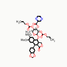 C=CCOC(=O)O[C@H]1[C@H](OC(=O)c2cnccn2)[C@@H](OC(=O)OCC=C)C(Oc2c3c(c(-c4ccc5c(c4)OCO5)c4cc(OC)c(OC)cc24)C(=O)OC3)O[C@@H]1C